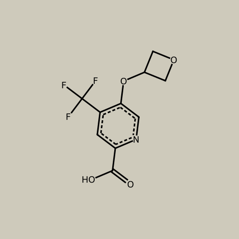 O=C(O)c1cc(C(F)(F)F)c(OC2COC2)cn1